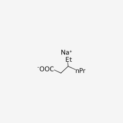 CCCC(CC)CC(=O)[O-].[Na+]